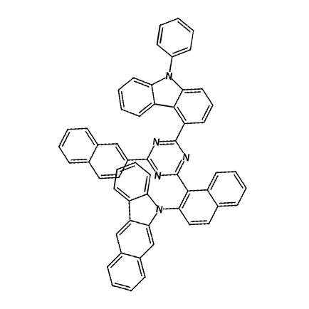 c1ccc(-n2c3ccccc3c3c(-c4nc(-c5ccc6ccccc6c5)nc(-c5c(-n6c7ccccc7c7cc8ccccc8cc76)ccc6ccccc56)n4)cccc32)cc1